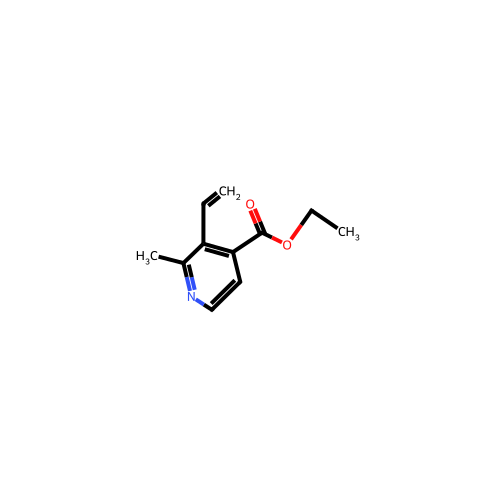 C=Cc1c(C(=O)OCC)ccnc1C